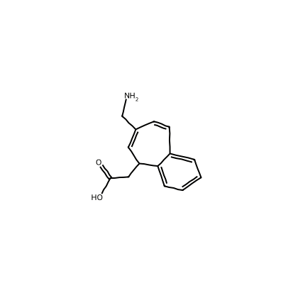 NCC1=CC(CC(=O)O)c2ccccc2C=C1